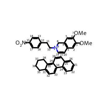 COc1cc2c(cc1OC)CN(CCc1ccc([N+](=O)[O-])cc1)C=C2.c1ccc2c(c1)ccc1c3c(ccc12)CCCC3